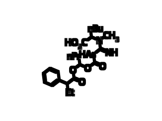 CCCCC(C(=O)O)N(C)C(=N)[AsH]C(=O)OC(CCC)OC(=O)C(CC)c1ccccc1